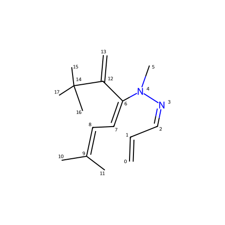 C=C/C=N\N(C)/C(=C/C=C(C)C)C(=C)C(C)(C)C